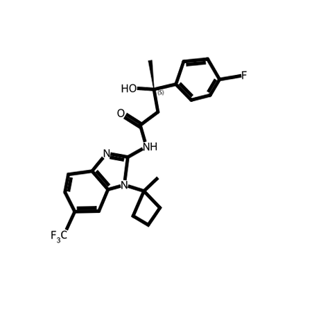 CC1(n2c(NC(=O)C[C@](C)(O)c3ccc(F)cc3)nc3ccc(C(F)(F)F)cc32)CCC1